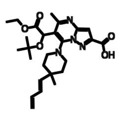 C=C/C=C/C1(C)CCN(c2c(C(OC(C)(C)C)C(=O)OCC)c(C)nc3cc(C(=O)O)nn23)CC1